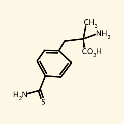 C[C@](N)(Cc1ccc(C(N)=S)cc1)C(=O)O